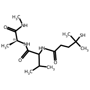 CNC(=O)[C@H](C)NC(=O)C(NC(=O)CCC(C)(C)S)C(C)C